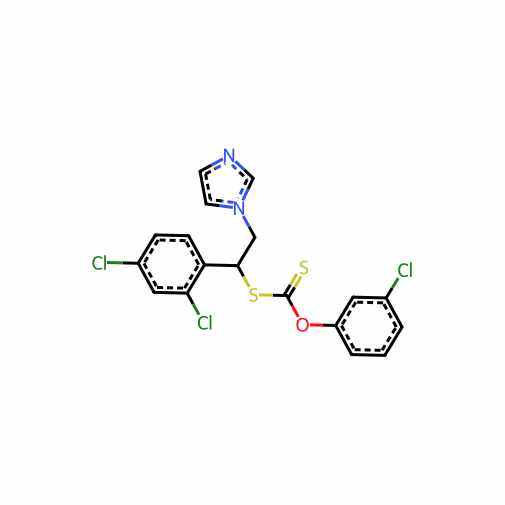 S=C(Oc1cccc(Cl)c1)SC(Cn1ccnc1)c1ccc(Cl)cc1Cl